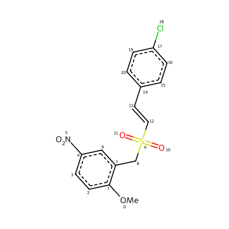 COc1ccc([N+](=O)[O-])cc1CS(=O)(=O)C=Cc1ccc(Cl)cc1